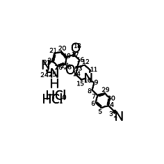 Cl.Cl.N#Cc1ccc(CCN2CCC3(CC2)CC(=O)c2ccc4nc[nH]c4c2O3)cc1